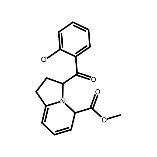 COC(=O)C1C=CC=C2CCC(C(=O)c3ccccc3Cl)N21